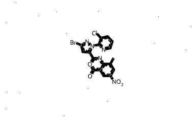 Cc1cc([N+](=O)[O-])cc2c(=O)oc(-c3cc(Br)nn3-c3ncccc3Cl)nc12